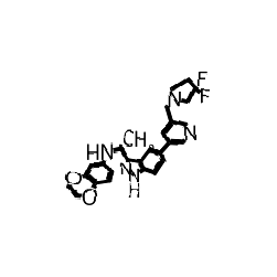 C=C(Nc1ccc2c(c1)OCCO2)c1n[nH]c2ccc(-c3cncc(CN4CCC(F)(F)C4)c3)cc12